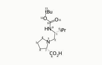 CC(C)[C@H](CN1CCC[C@H]1C(=O)O)NC(=O)OC(C)(C)C